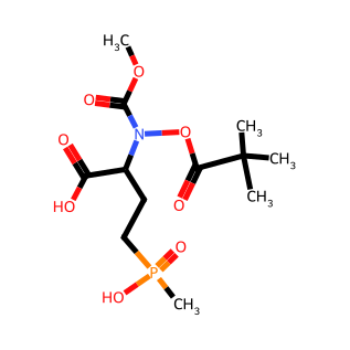 COC(=O)N(OC(=O)C(C)(C)C)C(CCP(C)(=O)O)C(=O)O